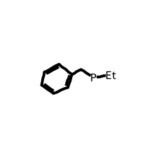 CC[P]Cc1ccccc1